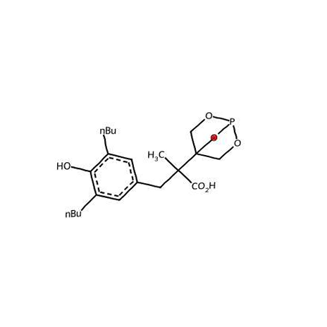 CCCCc1cc(CC(C)(C(=O)O)C23COP(OC2)OC3)cc(CCCC)c1O